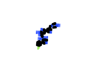 Fc1cccc(-c2cncc3c2NC(c2n[nH]c4ncc(-c5cncc(CN6CCNCC6)c5)cc24)N3)c1